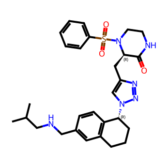 CC(C)CNCc1ccc2c(c1)CCC[C@H]2n1cc(C[C@@H]2C(=O)NCCN2S(=O)(=O)c2ccccc2)nn1